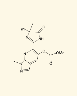 COC(=O)Oc1cc2cnn(C)c2nc1C1=NC(C)(C(C)C)C(=O)N1